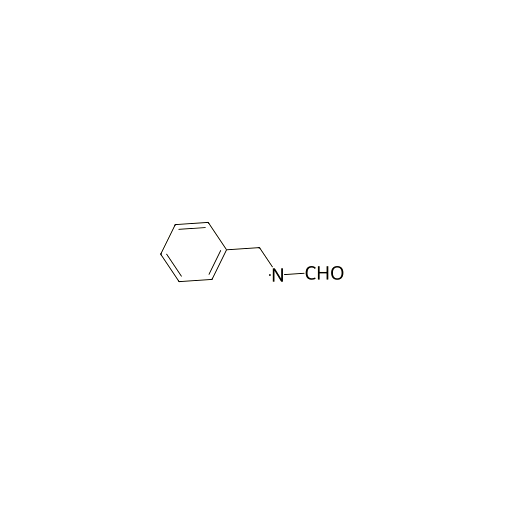 O=C[N]Cc1ccccc1